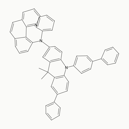 CC1(C)c2cc(-c3ccccc3)ccc2N(c2ccc(-c3ccccc3)cc2)c2ccc(N(c3ccccc3)c3cccc4ccc5cccnc5c34)cc21